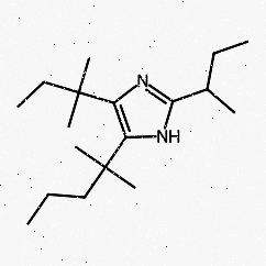 CCCC(C)(C)c1[nH]c(C(C)CC)nc1C(C)(C)CC